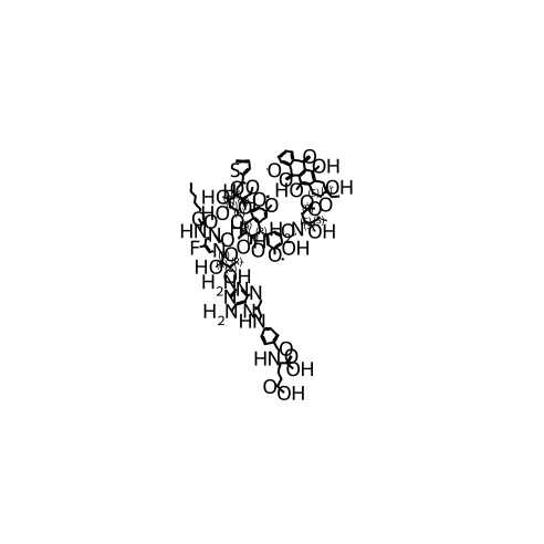 CCCCCOC(=O)Nc1nc(=O)n([C@@H]2O[C@H](C)[C@@H](O)[C@H]2O)cc1F.COc1cc([C@@H]2c3cc4c(cc3[C@@H](O[C@@H]3O[C@@H]5COC(c6cccs6)O[C@H]5[C@H](O)[C@H]3O)[C@H]3COC(=O)[C@H]23)OCO4)cc(OC)c1O.COc1cccc2c1C(=O)c1c(O)c3c(c(O)c1C2=O)C[C@@](O)(C(C)=O)C[C@@H]3O[C@H]1C[C@H](N)[C@H](O)[C@H](C)O1.Nc1nc(N)c2nc(CNc3ccc(C(=O)NC(CCC(=O)O)C(=O)O)cc3)cnc2n1